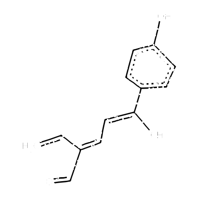 C=C/C(C=O)=C\C=C(/C)c1ccc(O)cc1